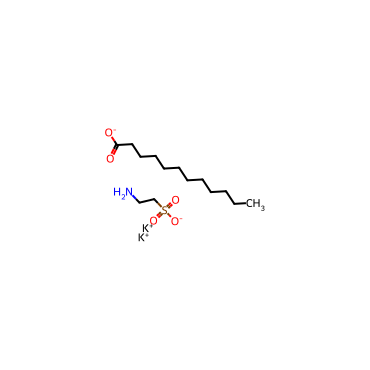 CCCCCCCCCCCC(=O)[O-].NCCS(=O)(=O)[O-].[K+].[K+]